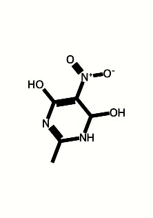 CC1=NC(O)=C([N+](=O)[O-])C(O)N1